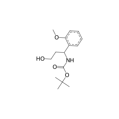 COc1ccccc1C(CCO)NC(=O)OC(C)(C)C